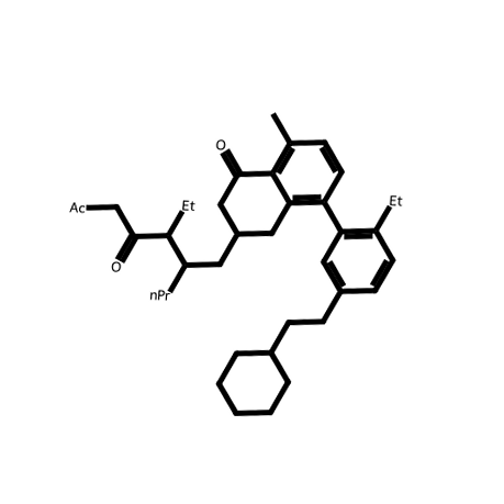 CCCC(CC1CC(=O)c2c(C)ccc(-c3cc(CCC4CCCCC4)ccc3CC)c2C1)C(CC)C(=O)CC(C)=O